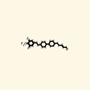 FCC=CCCC1CCC(C2CCC(CCc3cc(F)c(C(F)(F)F)c(F)c3)CC2)CC1